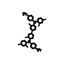 Cc1ccc(N(c2ccc(C(C)C)cc2)c2ccc(-c3ccc(N(c4ccc(C(C)C)cc4)c4ccc(C)cc4C)c(C)c3)cc2C)c(C)c1